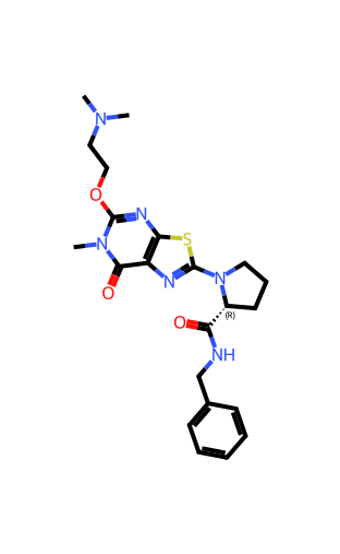 CN(C)CCOc1nc2sc(N3CCC[C@@H]3C(=O)NCc3ccccc3)nc2c(=O)n1C